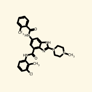 Cc1c(Cl)cccc1NC(=O)c1cc(NC(=O)c2ccccc2C(F)(F)F)cc2[nH]c(N3CCN(C)CC3)nc12